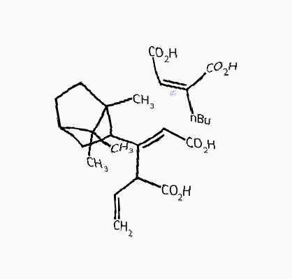 C=CC(C(=O)O)C(=CC(=O)O)C1CC2CCC1(C)C2(C)C.CCCC/C(=C/C(=O)O)C(=O)O